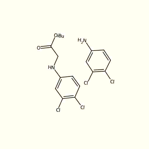 CC(C)COC(=O)CNc1ccc(Cl)c(Cl)c1.Nc1ccc(Cl)c(Cl)c1